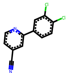 N#Cc1ccnc(-c2ccc(Cl)c(Cl)c2)c1